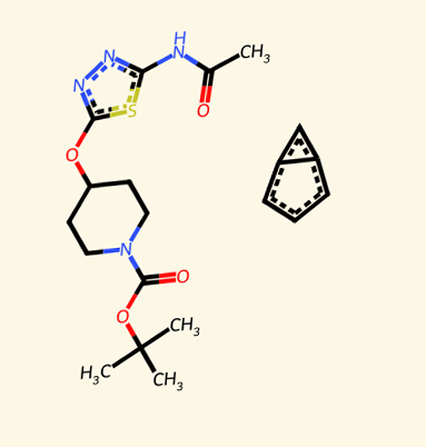 CC(=O)Nc1nnc(OC2CCN(C(=O)OC(C)(C)C)CC2)s1.c1cc2cc-2c1